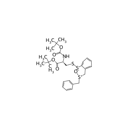 CC(C)(C)OC(=O)N[C@@H](CSSc1ccccc1C[S+]([O-])Cc1ccccc1)C(=O)OC(C)(C)C